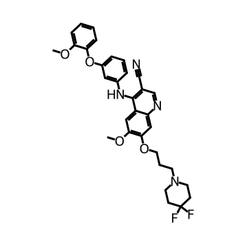 COc1cc2c(Nc3cccc(Oc4ccccc4OC)c3)c(C#N)cnc2cc1OCCCN1CCC(F)(F)CC1